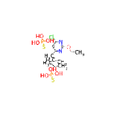 CC.CCC.CCOc1nc(C)cc(Cl)n1.OP(O)(O)=S.OP(O)(O)=S